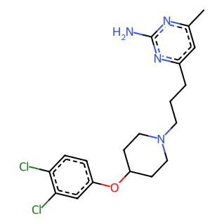 Cc1cc(CCCN2CCC(Oc3ccc(Cl)c(Cl)c3)CC2)nc(N)n1